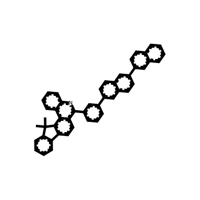 CC1(C)c2ccccc2-c2ccc3c(-c4cccc(-c5ccc6cc(-c7ccc8ccccc8c7)ccc6c5)c4)nc4ccccc4c3c21